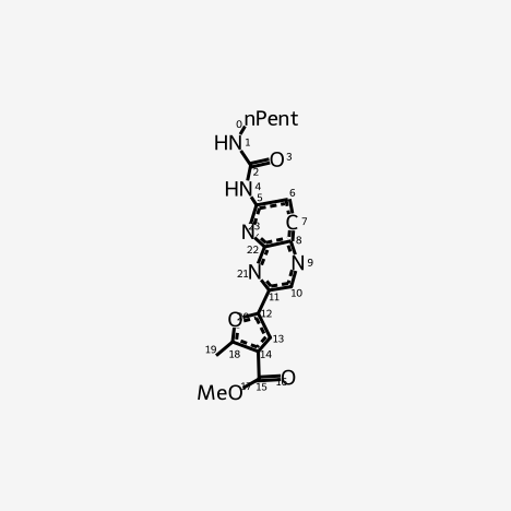 CCCCCNC(=O)Nc1ccc2ncc(-c3cc(C(=O)OC)c(C)o3)nc2n1